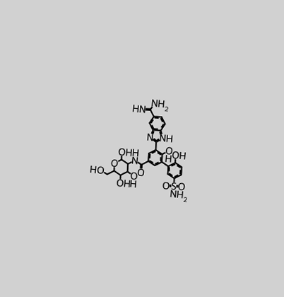 N=C(N)c1ccc2[nH]c(-c3cc(C(=O)NC4C(O)OC(CO)C(O)C4O)cc(-c4cc(S(N)(=O)=O)ccc4O)c3O)nc2c1